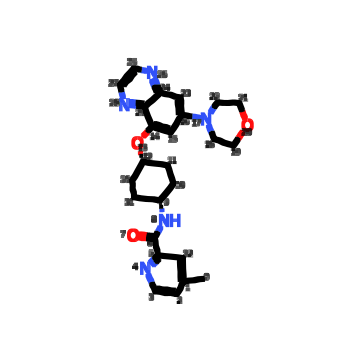 Cc1ccnc(C(=O)N[C@H]2CC[C@@H](Oc3cc(N4CCOCC4)cc4nccnc34)CC2)c1